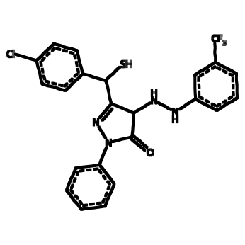 O=C1C(NNc2cccc(C(F)(F)F)c2)C(C(S)c2ccc(Cl)cc2)=NN1c1ccccc1